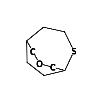 C1CC2CCC(COC2)S1